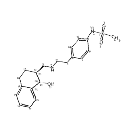 CS(=O)(=O)Nc1ccc(CCNC[C@@H]2CCc3ccccc3[C@H]2O)cc1